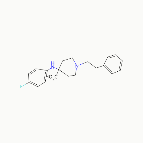 O=C(O)C1(Nc2ccc(F)cc2)CCN(CCc2ccccc2)CC1